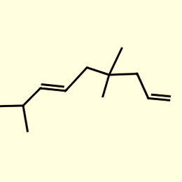 C=CCC(C)(C)CC=CC(C)C